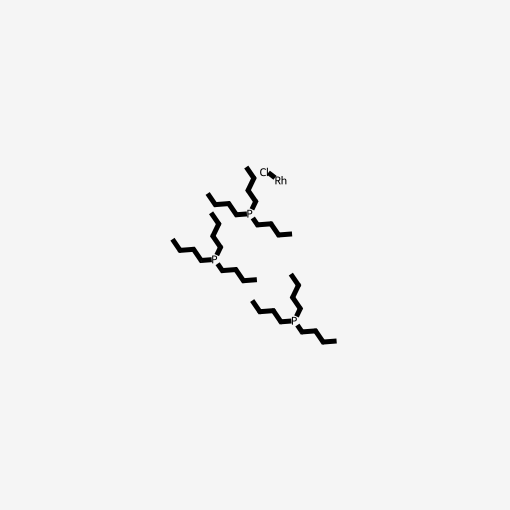 CCCCP(CCCC)CCCC.CCCCP(CCCC)CCCC.CCCCP(CCCC)CCCC.[Cl][Rh]